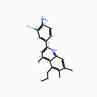 CCCc1c(C)c(C)cc2nc(-c3ccc(N)c(F)c3)cc(C)c12